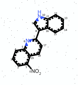 O=[N+]([O-])c1cccc2nc(-c3c[nH]c4ccccc34)ccc12